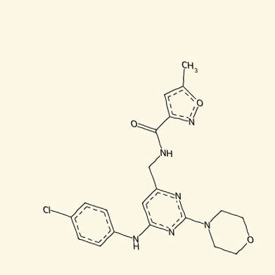 Cc1cc(C(=O)NCc2cc(Nc3ccc(Cl)cc3)nc(N3CCOCC3)n2)no1